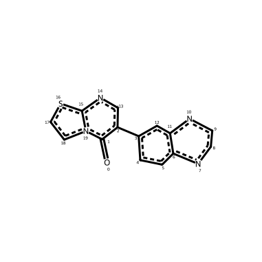 O=c1c(-c2ccc3nccnc3c2)[c]nc2sccn12